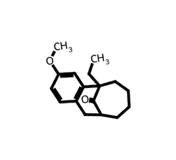 CCC12CCCCC(Cc3ccc(OC)cc31)C2=O